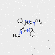 CN(C)Cc1cn(-c2cn(C)cc2-c2c[nH]c3ccccc23)c2ccccc12